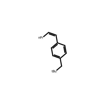 CCC/C=[C]\c1ccc(CC(C)(C)C)cc1